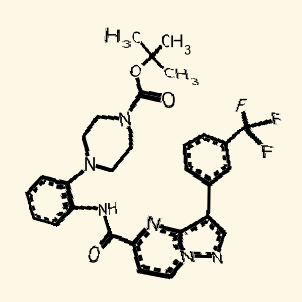 CC(C)(C)OC(=O)N1CCN(c2ccccc2NC(=O)c2ccn3ncc(-c4cccc(C(F)(F)F)c4)c3n2)CC1